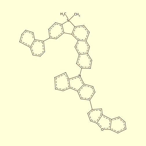 C[Si]1(C)c2ccc(-c3cccc4ccccc34)cc2-c2c1ccc1cc3ccc(-n4c5ccccc5c5cc(-c6ccc7oc8ccccc8c7c6)ccc54)cc3cc21